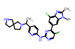 Cc1nc2c(F)cc(-c3nc(Nc4ccc(C(C)N5CCC6(CCNC6)C5)cn4)ncc3F)cc2n1C(C)C